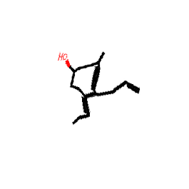 C=CCC1=C(C)C(O)CC1=CC